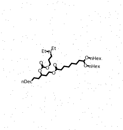 CCCCCCCCCCCCC(CCOC(=O)CCCCCCC(OCCCCCC)OCCCCCC)OC(=O)OCCCN(CC)CC